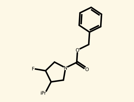 CC(C)C1CN(C(=O)OCc2ccccc2)CC1F